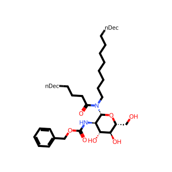 CCCCCCCCCCCCCCCCCCN(C(=O)CCCCCCCCCCCCC)[C@@H]1O[C@H](CO)[C@@H](O)[C@H](O)[C@H]1NC(=O)OCc1ccccc1